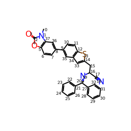 Cn1c(=O)oc2ccc(-c3ccc4sc(CC(C#N)N=C(c5ccccc5)c5ccccc5)cc4c3)cc21